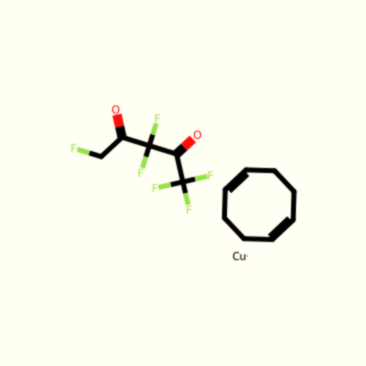 C1=CCCC=CCC1.O=C(CF)C(F)(F)C(=O)C(F)(F)F.[Cu]